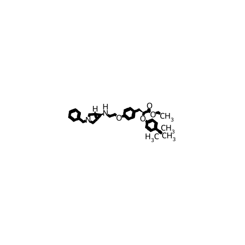 CCOC(=O)[C@H](Cc1ccc(OCCN[C@H]2C3CN(Cc4ccccc4)C[C@@H]32)cc1)Oc1ccc(C(C)(C)C)cc1